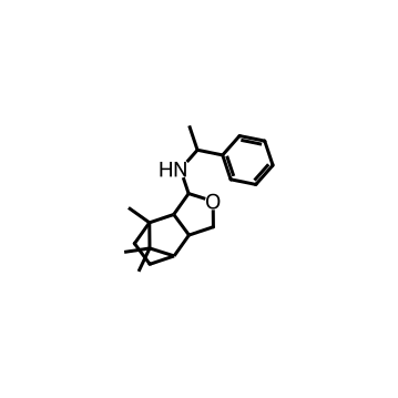 CC(NC1OCC2C3CCC(C)(C12)C3(C)C)c1ccccc1